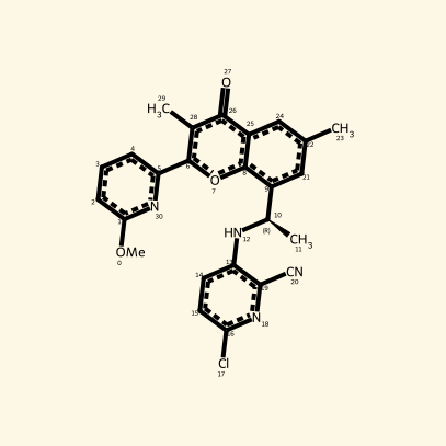 COc1cccc(-c2oc3c([C@@H](C)Nc4ccc(Cl)nc4C#N)cc(C)cc3c(=O)c2C)n1